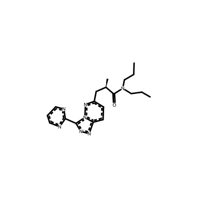 CCCN(CCC)C(=O)[C@H](C)Cc1ccc2nnc(-c3ncccn3)n2n1